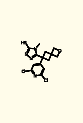 Cn1c(S)nnc1C1(c2cc(Cl)nc(Cl)c2)CC2(COC2)C1